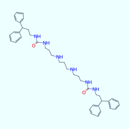 O=C(NCCCNCCCNCCCNC(=O)NCCC(c1ccccc1)c1ccccc1)NCCC(c1ccccc1)c1ccccc1